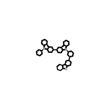 C1=Cc2c(oc3ccc(-c4cccc(-n5c6ccccc6c6cc(-c7ccc8c(c7)c7ccccc7n8-c7ccccc7)ccc65)c4)cc23)CC1